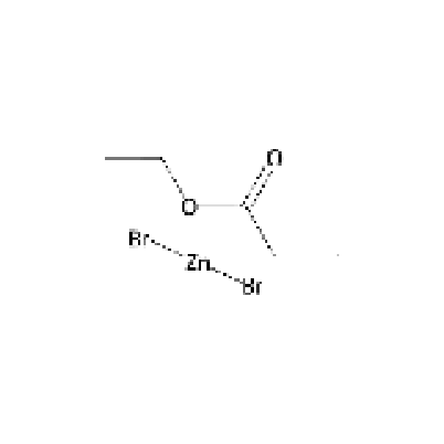 [Br][Zn][Br].[CH2]CC(=O)OCC